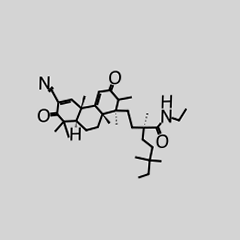 CCNC(=O)[C@@](C)(CCC(C)(C)CC)CC[C@]1(C)C(C)C(=O)C=C2[C@@]3(C)C=C(C#N)C(=O)C(C)(C)[C@@H]3CC[C@]21C